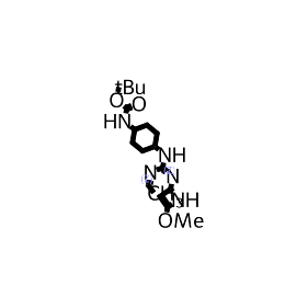 C/C=N\C(=N/C1C=C(OC)N1)NC1CCC(NC(=O)OC(C)(C)C)CC1